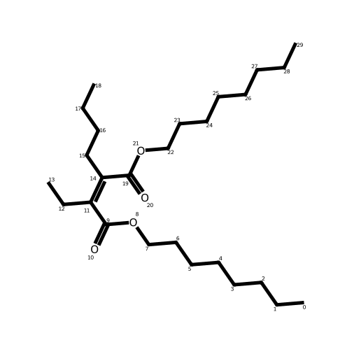 CCCCCCCCOC(=O)C(CC)=C(CCCC)C(=O)OCCCCCCCC